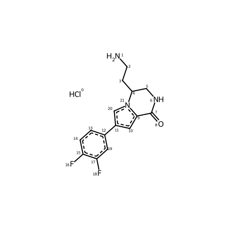 Cl.NCCC1CNC(=O)c2cc(-c3ccc(F)c(F)c3)cn21